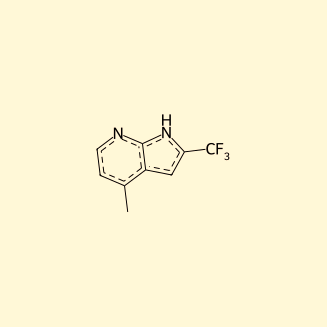 Cc1ccnc2[nH]c(C(F)(F)F)cc12